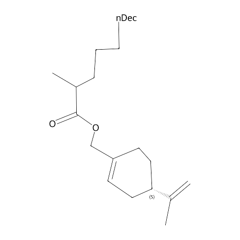 C=C(C)[C@@H]1CC=C(COC(=O)C(C)CCCCCCCCCCCCC)CC1